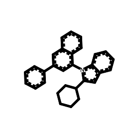 c1ccc(-c2cc(-n3c(C4CCCCC4)cc4ccccc43)c3ccccc3c2)cc1